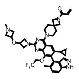 C=CC(=O)N1CC2(CCN(c3nc(N4CC(OC5CN(C)C5)C4)nc4c(OCC(F)(F)F)c(-c5c(C)ccc6[nH]ncc56)c(C5CC5)cc34)CC2)C1